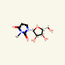 [2H]n1c(=O)ccn([C@@H]2O[C@H](CO)[C@@H](O)[C@H]2O)c1=O